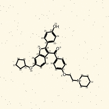 O=C(c1ccc(OCCN2CCCCC2)cc1)c1c(-c2ccc(O)cc2)sc2cc(OC3CCCC3)ccc12